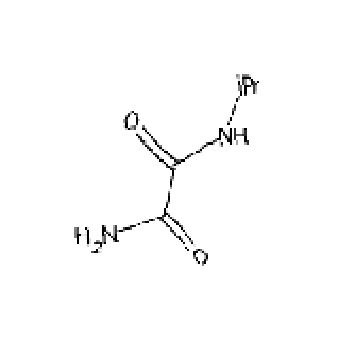 CC(C)NC(=O)C(N)=O